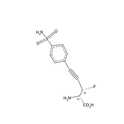 N[C@@H](C(=O)O)[C@@H](F)C#Cc1ccc(S(N)(=O)=O)cc1